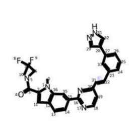 Cn1c(C(=O)N2CC(F)(F)C2)cc2ccc(-c3nccc(/C=C/c4cccc(-c5cn[nH]c5)c4)n3)cc21